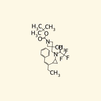 CCC(=Cc1ccccc1)C1CC1N(CC1(C)CN(C(=O)OC(C)(C)C)C1)C(=O)C(F)(F)F